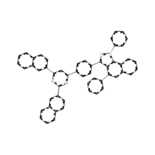 c1ccc(-c2cc3ccccc3c3c2c(-c2ccc(-c4cc(-c5ccc6ccccc6c5)nc(-c5ccc6ccccc6c5)n4)cc2)nn3-c2ccccc2)cc1